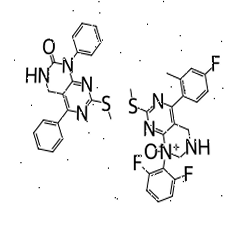 CSc1nc(-c2ccc(F)cc2C)c2c(n1)[N+]([O-])(c1c(F)cccc1F)CNC2.CSc1nc(-c2ccccc2)c2c(n1)N(c1ccccc1)C(=O)NC2